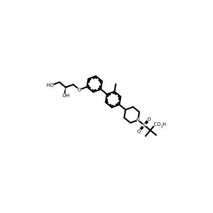 Cc1cc(C2CCN(S(=O)(=O)C(C)(C)C(=O)O)CC2)ccc1-c1cccc(OC[C@@H](O)CO)c1